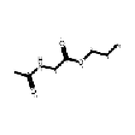 CCCOC(=O)CNC(C)=O